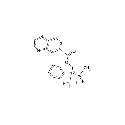 CC(=N)[C@@](COC(=O)c1ccc2nccnc2c1)(c1ccccc1)C(F)(F)F